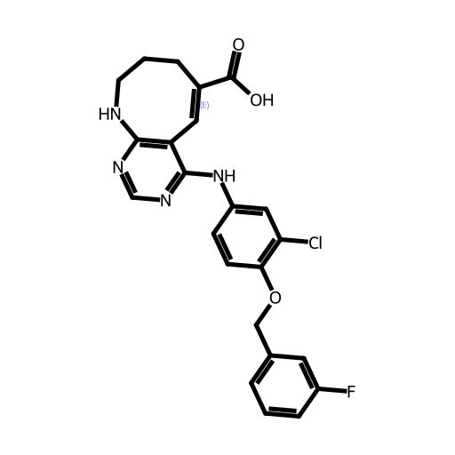 O=C(O)/C1=C/c2c(ncnc2Nc2ccc(OCc3cccc(F)c3)c(Cl)c2)NCCC1